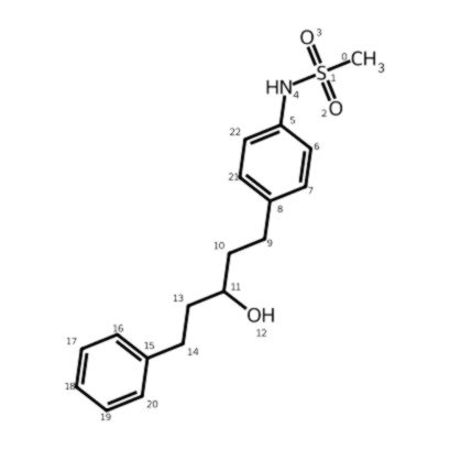 CS(=O)(=O)Nc1ccc(CCC(O)CCc2ccccc2)cc1